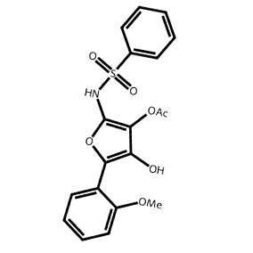 COc1ccccc1-c1oc(NS(=O)(=O)c2ccccc2)c(OC(C)=O)c1O